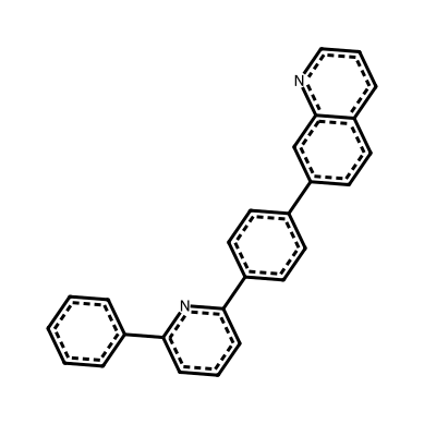 c1ccc(-c2cccc(-c3ccc(-c4ccc5cccnc5c4)cc3)n2)cc1